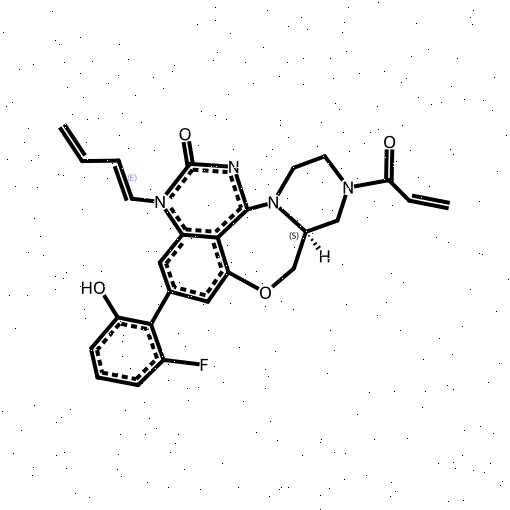 C=C/C=C/n1c(=O)nc2c3c(cc(-c4c(O)cccc4F)cc31)OC[C@@H]1CN(C(=O)C=C)CCN21